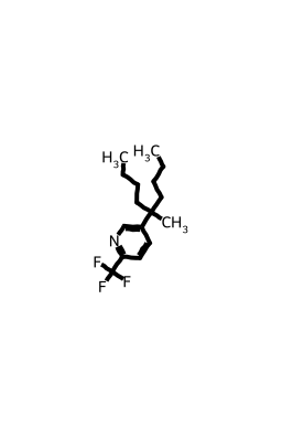 CCCCC(C)(CCCC)c1ccc(C(F)(F)F)nc1